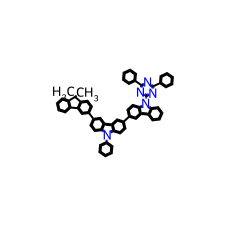 CC1(C)c2ccccc2-c2cc(-c3ccc4c(c3)c3cc(-c5ccc6c(c5)c5ccccc5n6-c5nc(-c6ccccc6)nc(-c6ccccc6)n5)ccc3n4-c3ccccc3)ccc21